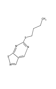 CCCCSc1ncc2cnsc2n1